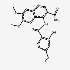 COc1ccc(C(=O)Nc2c(C(N)=O)cnc3cc(OC)c(OC)cc23)c(O)c1